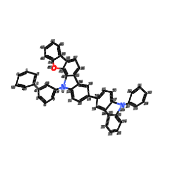 c1ccc(-c2cccc(-n3c4ccc(-c5ccc6c(c5)c5ccccc5n6-c5ccccc5)cc4c4ccc5c6ccccc6oc5c43)c2)cc1